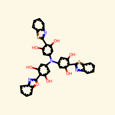 Oc1cc(N(c2cc(O)c(-c3nc4ccccc4s3)c(O)c2)c2cc(O)c(-c3nc4ccccc4s3)c(O)c2)cc(O)c1-c1nc2ccccc2o1